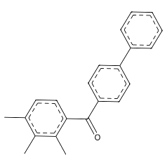 Cc1ccc(C(=O)c2ccc(-c3ccccc3)cc2)c(C)c1C